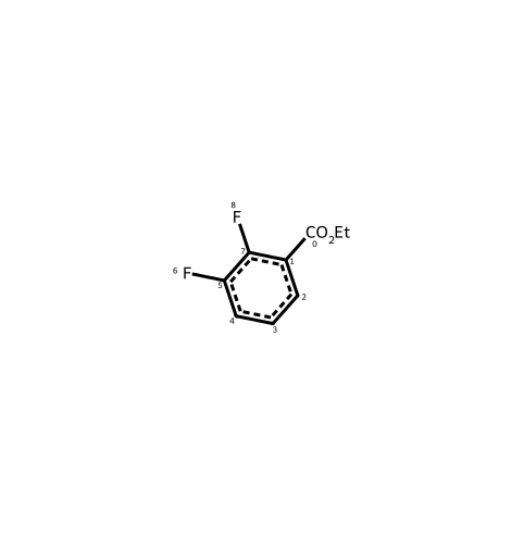 CCOC(=O)c1cccc(F)c1F